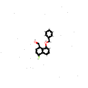 O=Cc1ccc(F)c2cccc(OCc3ccccc3)c12